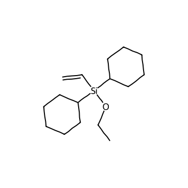 C=C[Si](OCC)(C1CCCCC1)C1CCCCC1